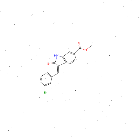 COC(=O)c1ccc2c(c1)NC(=O)C2=Cc1cccc(Br)c1